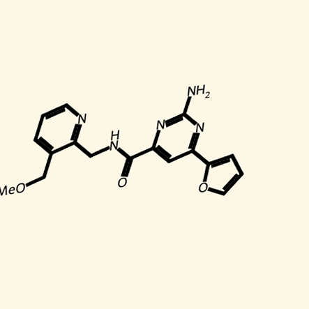 COCc1cccnc1CNC(=O)c1cc(-c2ccco2)nc(N)n1